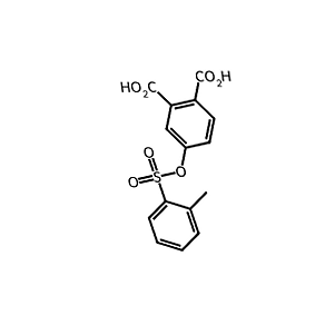 Cc1ccccc1S(=O)(=O)Oc1ccc(C(=O)O)c(C(=O)O)c1